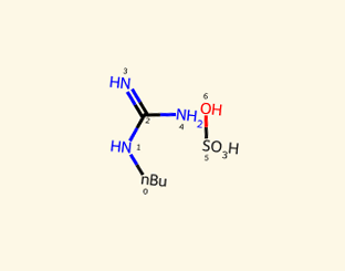 CCCCNC(=N)N.O=S(=O)(O)O